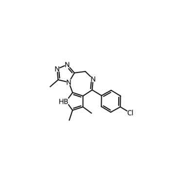 CC1=C(C)C2=C(B1)n1c(C)nnc1CN=C2c1ccc(Cl)cc1